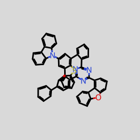 c1ccc(-c2ccc(-c3nc(-c4ccccc4-c4cc(-n5c6ccccc6c6ccccc65)cc5c4sc4ccccc45)nc(-c4cccc5oc6ccccc6c45)n3)cc2)cc1